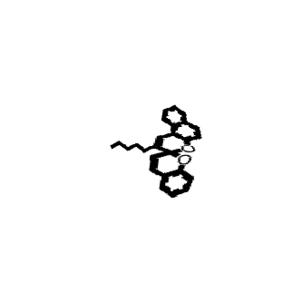 CCCCCC1=Cc2c(ccc3ccccc23)OC12C=Cc1ccccc1O2